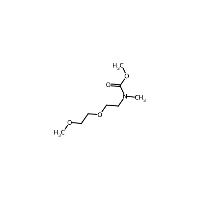 COCCOCCN(C)C(=O)OC